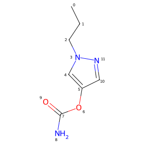 CCCn1cc(OC(N)=O)cn1